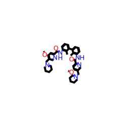 COc1cc(C(=O)Nc2cccc(-c3cccc(NC(=O)c4cc(OC)c(CN5CCCCC5)cn4)c3C)c2C)ncc1CN1CCCCC1